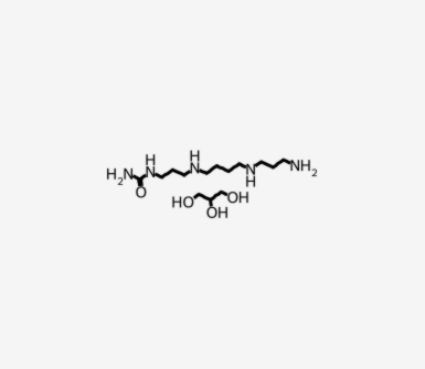 NCCCNCCCCNCCCNC(N)=O.OCC(O)CO